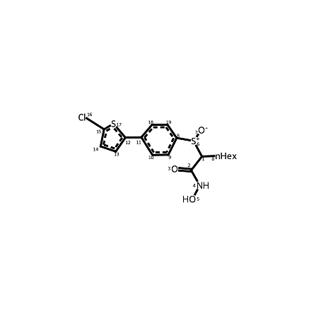 CCCCCCC(C(=O)NO)[S+]([O-])c1ccc(-c2ccc(Cl)s2)cc1